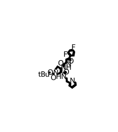 CC(C)(C)OC(=O)N1CC[C@@H](NC(=O)c2cc(-c3ccc(F)cc3F)on2)[C@H](C(=O)NCCc2ccccn2)C1